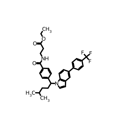 CCOC(=O)CCNC(=O)c1ccc(C(CCC(C)C)n2ccc3cc(-c4ccc(C(F)(F)F)cc4)ccc32)cc1